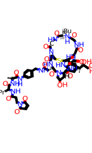 CC[C@H](C)[C@@H]1NC(=O)CNC(=O)C2Cc3c([nH]c4ccccc34)SCC(NC(=O)CNC1=O)C(=O)N[C@@H](CC(=O)NCc1ccc(NC(=O)[C@H](C)NC(=O)C(NC(=O)CCN3C(=O)C=CC3=O)C(C)C)cc1)C(=O)N1CC(O)C[C@H]1C(=O)N[C@@H]([C@@H](C)[C@@H](O)CO)C(=O)N2